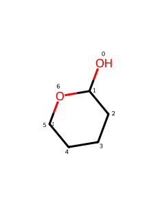 OC1CCC[C]O1